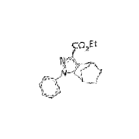 CCOC(=O)c1nn(-c2ccccc2)c2c1C1CCC2C1